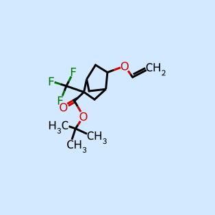 C=COC1CC2CC1CC2(C(=O)OC(C)(C)C)C(F)(F)F